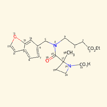 CCOC(=O)CCCN(Cc1ccc2ccoc2c1)C(=O)C1(C)CCN1C(=O)O